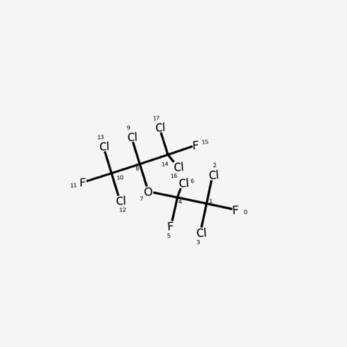 FC(Cl)(Cl)C(F)(Cl)OC(Cl)(C(F)(Cl)Cl)C(F)(Cl)Cl